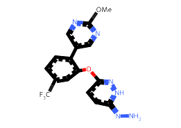 COc1ncc(-c2ccc(C(F)(F)F)cc2Oc2cc/c(=N/N)[nH]n2)cn1